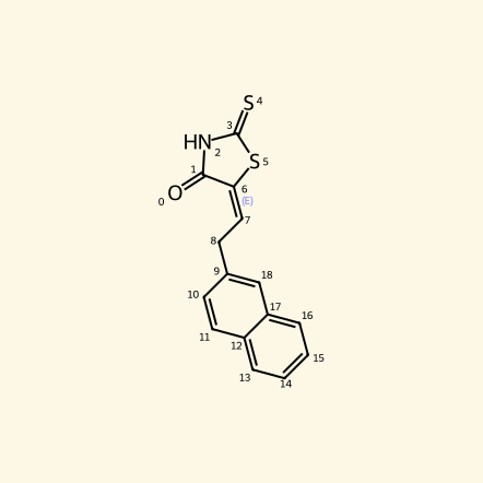 O=C1NC(=S)S/C1=C/Cc1ccc2ccccc2c1